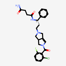 NC(=O)CCC(=O)N[C@@H](CCN1CC2=CN(C(=O)c3c(F)cccc3Cl)CC2C1)c1ccccc1